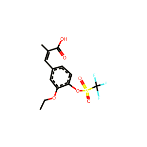 CCOc1cc(C=C(C)C(=O)O)ccc1OS(=O)(=O)C(F)(F)F